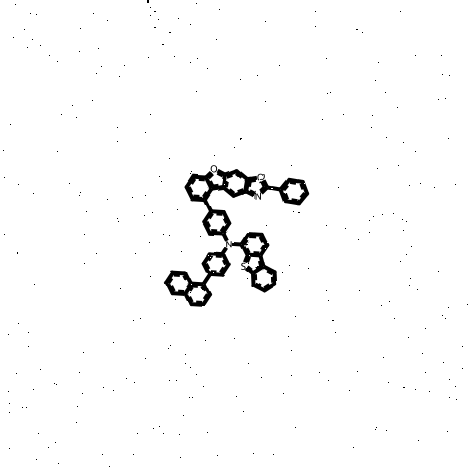 c1ccc(-c2nc3cc4c(cc3o2)oc2cccc(-c3ccc(N(c5ccc(-c6cccc7ccccc67)cc5)c5cccc6c5sc5ccccc56)cc3)c24)cc1